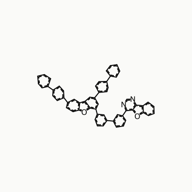 c1ccc(-c2ccc(-c3ccc4oc5c(-c6cccc(-c7cccc(-c8ncnc9c8oc8ccccc89)c7)c6)cc(-c6ccc(-c7ccccc7)cc6)cc5c4c3)cc2)cc1